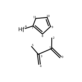 C=C(C)C(=C)C.[Hf][C]1=CC=CC1